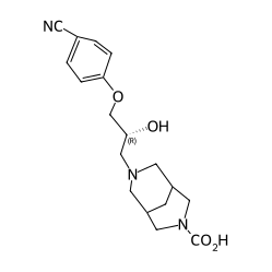 N#Cc1ccc(OC[C@H](O)CN2CC3CC(C2)CN(C(=O)O)C3)cc1